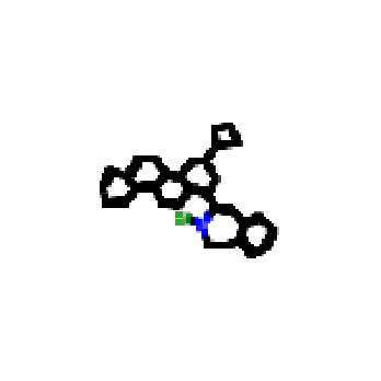 ClN1CCc2cc[c]cc2C=C1C1=c2ccc3c(c2CC(C2CCC2)C1)CC=c1ccccc1=3